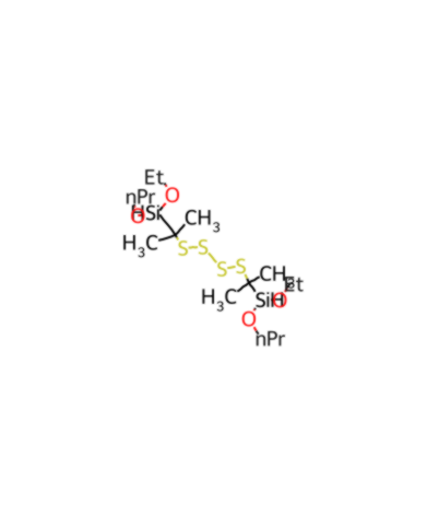 CCCO[SiH](OCC)C(C)(C)SSSSC(C)(C)[SiH](OCC)OCCC